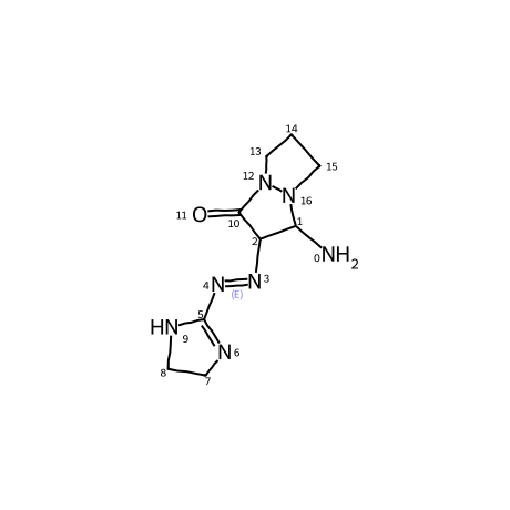 NC1C(/N=N/C2=NCCN2)C(=O)N2CCCN12